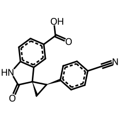 N#Cc1ccc([C@H]2C[C@]23C(=O)Nc2ccc(C(=O)O)cc23)cc1